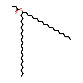 C=CC(=O)OC(CCCCCCCCCCCCCCCCCC)CCCCCCCCCCCCCCCCCCCCC